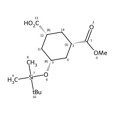 COC(=O)[C@@H]1C[C@H](O[Si](C)(C)C(C)(C)C)C[C@H](C(=O)O)C1